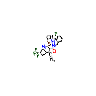 CCSc1nc2cc(C(F)(F)F)ccc2c(C)c1C(=O)NCc1cccc(F)c1